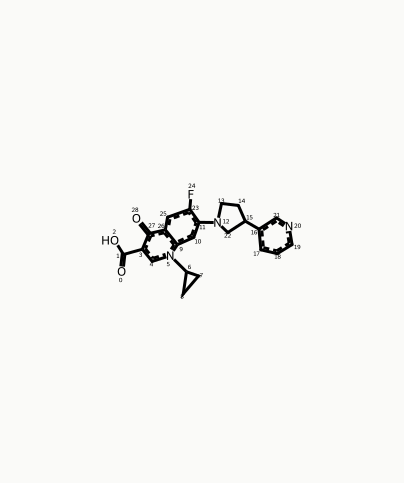 O=C(O)c1cn(C2CC2)c2cc(N3CCC(c4cccnc4)C3)c(F)cc2c1=O